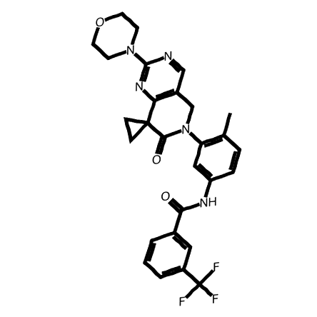 Cc1ccc(NC(=O)c2cccc(C(F)(F)F)c2)cc1N1Cc2cnc(N3CCOCC3)nc2C2(CC2)C1=O